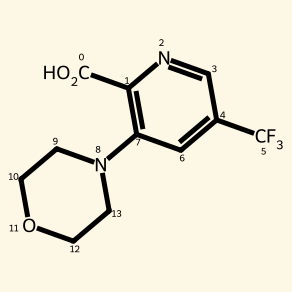 O=C(O)c1ncc(C(F)(F)F)cc1N1CCOCC1